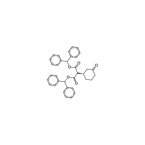 O=C1CCC[C@@H](C(C(=O)OC(c2ccccc2)c2ccccc2)C(=O)OC(c2ccccc2)c2ccccc2)C1